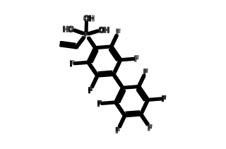 C=CP(O)(O)(O)c1c(F)c(F)c(-c2c(F)c(F)c(F)c(F)c2F)c(F)c1F